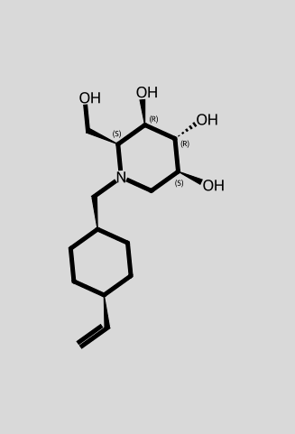 C=C[C@H]1CC[C@@H](CN2C[C@H](O)[C@@H](O)[C@H](O)[C@@H]2CO)CC1